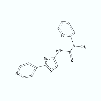 CN(C(=O)Nc1csc(-c2ccncc2)n1)c1ccccn1